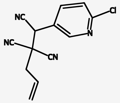 C=CCC(C#N)(C#N)C(C#N)c1ccc(Cl)nc1